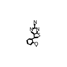 COc1ccccc1-c1csc2nc(C#N)ncc12